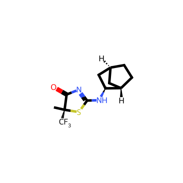 C[C@@]1(C(F)(F)F)SC(N[C@H]2C[C@H]3CC[C@H]2C3)=NC1=O